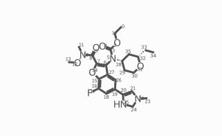 CCOC(=O)N(c1c(C(=O)N(C)OC)oc2c(F)cc(C3=CN(C)CN3)cc12)[C@H]1CCO[C@@H](CC)C1